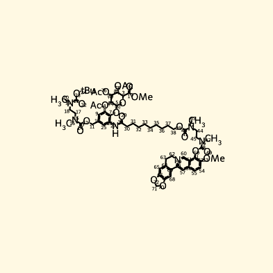 COC(=O)C1O[C@@H](Oc2ccc(COC(=O)N(C)CCN(C)C(=O)OC(C)(C)C)cc2NC(=O)CCCCCCCCCOC(=O)N(C)CCN(C)C(=O)Oc2c(OC)ccc3cc4[n+](cc23)CCc2cc3c(cc2-4)OCO3)[C@H](OC(C)=O)[C@@H](OC(C)=O)[C@@H]1OC(C)=O